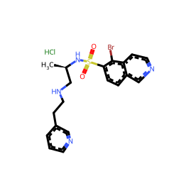 C[C@H](CNCCc1cccnc1)NS(=O)(=O)c1ccc2cnccc2c1Br.Cl